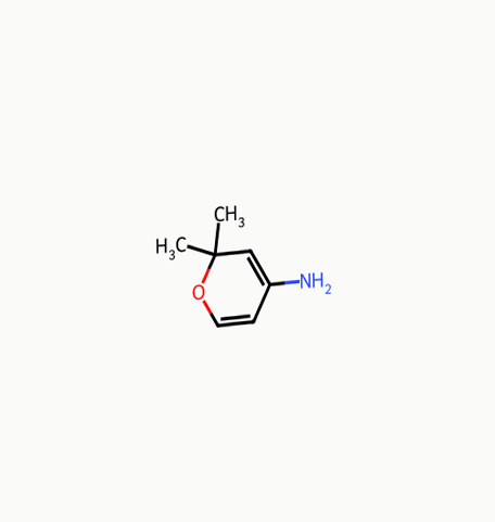 CC1(C)C=C(N)C=CO1